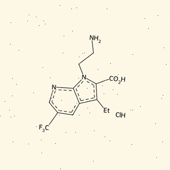 CCc1c(C(=O)O)n(CCN)c2ncc(C(F)(F)F)cc12.Cl